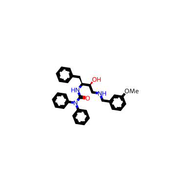 COc1cccc(CNC[C@H](O)[C@H](Cc2ccccc2)NC(=O)N(c2ccccc2)c2ccccc2)c1